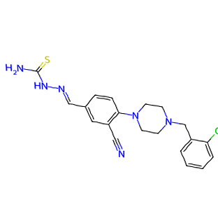 N#Cc1cc(C=NNC(N)=S)ccc1N1CCN(Cc2ccccc2Cl)CC1